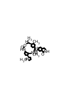 Cc1cc2ccc1[C@@H](C)COC(=O)Nc1ccc(-c3cccn3C)c(c1)CN(C)C(=O)[C@@H]2Nc1ccc2cc[nH]c(=O)c2c1